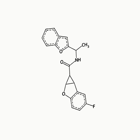 CC(NC(=O)C1C2Oc3ccc(F)cc3C21)c1cc2ccccc2o1